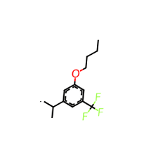 [CH2]C(C)c1cc(OCCCC)cc(C(F)(F)F)c1